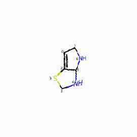 C1=C2SCNC2NC1